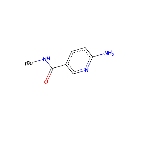 CC(C)(C)NC(=O)c1ccc(N)nc1